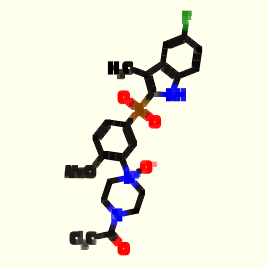 COc1ccc(S(=O)(=O)c2[nH]c3ccc(F)cc3c2C)cc1[N+]1([O-])CCN(C(=O)C(Cl)(Cl)Cl)CC1